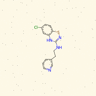 Clc1ccc2c(c1)NC(NCCc1cccnc1)=NS2